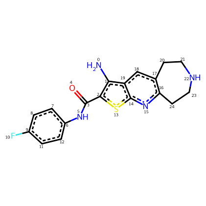 Nc1c(C(=O)Nc2ccc(F)cc2)sc2nc3c(cc12)CCNCC3